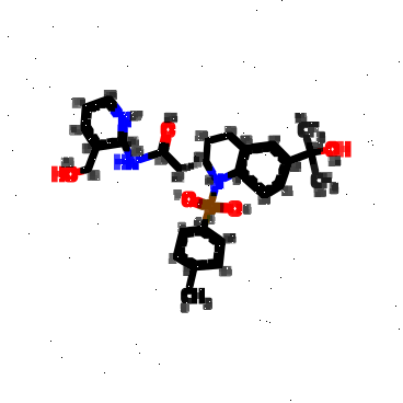 Cc1ccc(S(=O)(=O)N2c3ccc(C(O)(C(F)(F)F)C(F)(F)F)cc3CC[C@H]2CC(=O)Nc2ncccc2CO)cc1